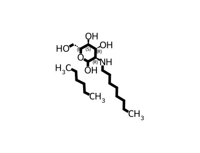 CCCCCC.CCCCCCCCN[C@H]1C(O)O[C@H](CO)[C@@H](O)[C@@H]1O